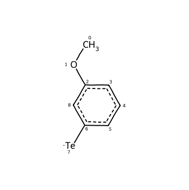 COc1cccc([Te])c1